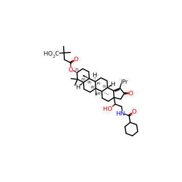 CC(C)C1=C2[C@H]3CC[C@@H]4[C@@]5(C)CC[C@H](OC(=O)CC(C)(C)C(=O)O)C(C)(C)[C@H]5CC[C@@]4(C)[C@]3(C)CCC2(C(O)CNC(=O)C2CCCCC2)CC1=O